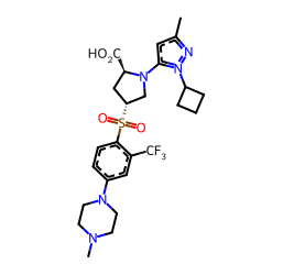 Cc1cc(N2C[C@H](S(=O)(=O)c3ccc(N4CCN(C)CC4)cc3C(F)(F)F)C[C@H]2C(=O)O)n(C2CCC2)n1